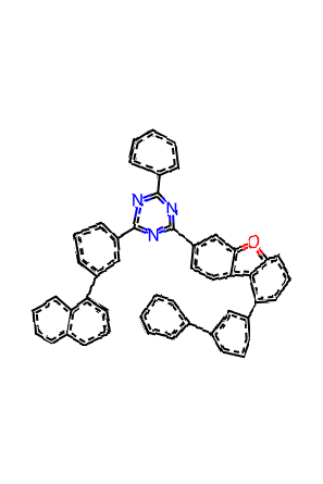 c1ccc(-c2cccc(-c3cccc4oc5cc(-c6nc(-c7ccccc7)nc(-c7cccc(-c8cccc9ccccc89)c7)n6)ccc5c34)c2)cc1